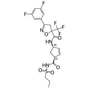 CCCS(=O)(=O)NC(=O)[C@@H]1C=C[C@H](NC(=O)C2(C(F)(F)F)CC(c3cc(F)cc(F)c3)=NO2)C1